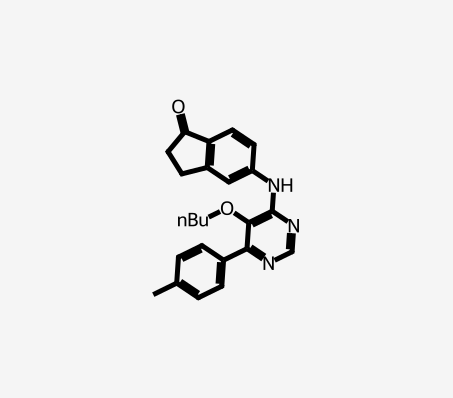 CCCCOc1c(Nc2ccc3c(c2)CCC3=O)ncnc1-c1ccc(C)cc1